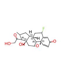 CC1C[C@H]2[C@@H]3CC(F)C4=CC(=O)C=C[C@]4(C)[C@]34OC4C[C@]2(C)[C@@]1(O)C(=O)CO